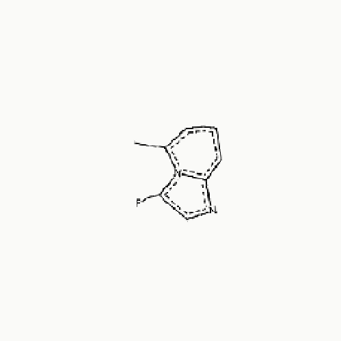 Cc1cccc2n[c]c(F)n12